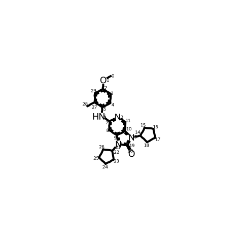 COc1ccc(Nc2cc3c(cn2)n(C2CCCC2)c(=O)n3C2CCCC2)c(C)c1